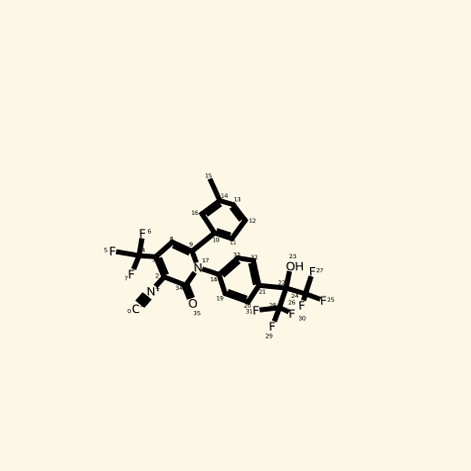 [C-]#[N+]c1c(C(F)(F)F)cc(-c2cccc(C)c2)n(-c2ccc(C(O)(C(F)(F)F)C(F)(F)F)cc2)c1=O